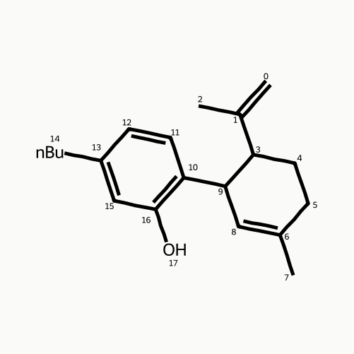 C=C(C)C1CCC(C)=CC1c1ccc(CCCC)cc1O